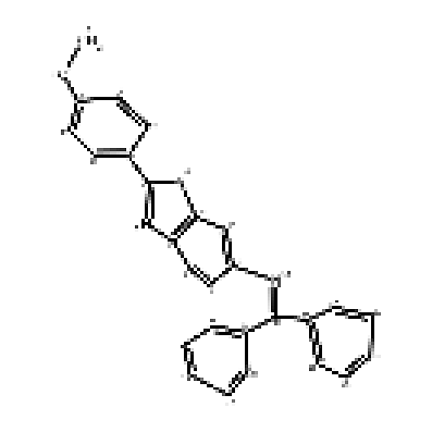 COc1ccc(-c2nc3ccc(N=C(c4ccccc4)c4ccccc4)cc3s2)cc1